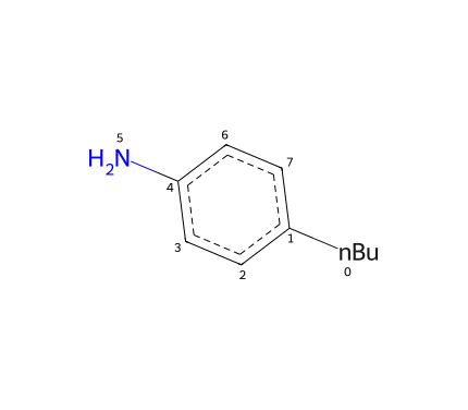 [CH2]CCCc1ccc(N)cc1